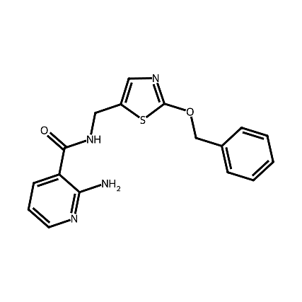 Nc1ncccc1C(=O)NCc1cnc(OCc2ccccc2)s1